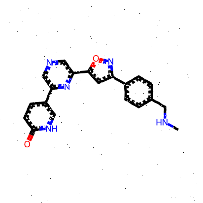 CNCc1ccc(-c2cc(-c3cncc(-c4ccc(=O)[nH]c4)n3)on2)cc1